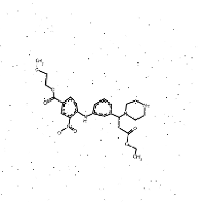 CCOC(=O)CC(c1cccc(Nc2ccc(C(=O)OCCOC)cc2[N+](=O)[O-])c1)N1CCNCC1